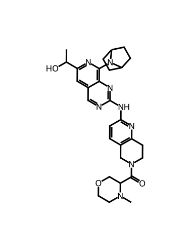 CC(O)c1cc2cnc(Nc3ccc4c(n3)CCN(C(=O)C3COCCN3C)C4)nc2c(N2C3CCC2CC3)n1